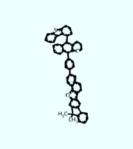 CC1(C)c2ccccc2-c2cc3c(cc21)oc1c2ccc(-c4ccc(-c5c6ccccc6c(-c6cccc7sc8ccccc8c67)c6ccccc56)cc4)cc2ccc31